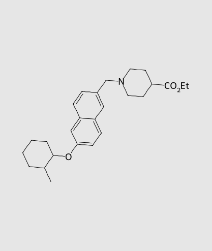 CCOC(=O)C1CCN(Cc2ccc3cc(OC4CCCCC4C)ccc3c2)CC1